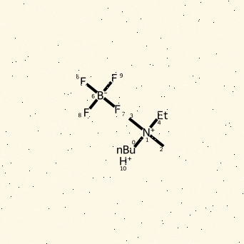 CCCC[N+](C)(C)CC.F[B-](F)(F)F.[H+]